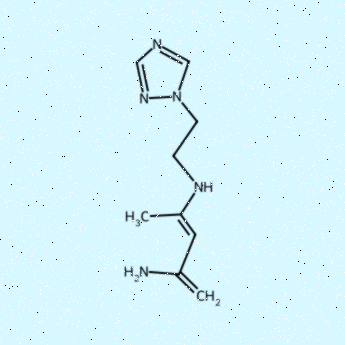 C=C(N)/C=C(\C)NCCn1cncn1